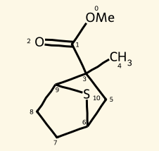 COC(=O)C1(C)CC2CCC1S2